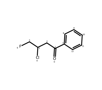 O=C(CC(Cl)CF)c1ccccc1